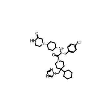 O=C1CN([C@H]2CC[C@@H](N[C@H](Cc3ccc(Cl)cc3)C(=O)N3CCC(Cn4cncn4)(C4CCCCC4)CC3)CC2)CCN1